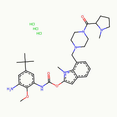 COc1c(N)cc(C(C)(C)C)cc1NC(=O)Oc1cc2cccc(CN3CCN(C(=O)C4CCCN4C)CC3)c2n1C.Cl.Cl.Cl